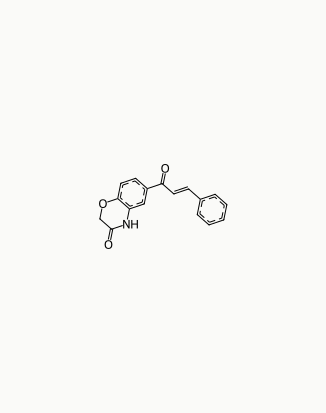 O=C1COc2ccc(C(=O)C=Cc3ccccc3)cc2N1